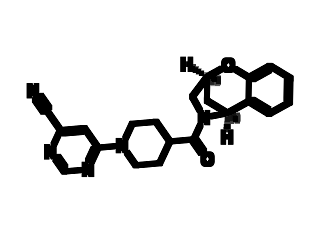 N#Cc1cc(N2CCC(C(=O)N3C[C@@H]4C[C@H]3c3ccccc3O4)CC2)ncn1